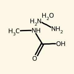 CNC(=O)O.NN.O